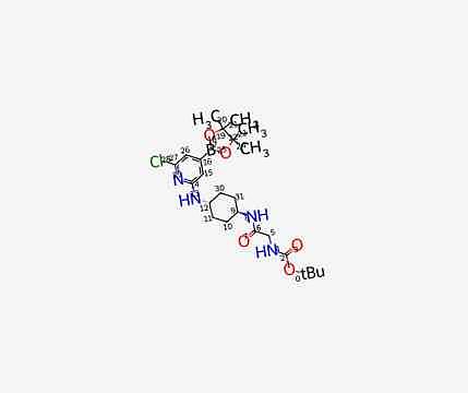 CC(C)(C)OC(=O)NCC(=O)N[C@H]1CC[C@H](Nc2cc(B3OC(C)(C)C(C)(C)O3)cc(Cl)n2)CC1